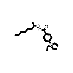 C=C[Si](C=C)(CC)c1ccc(C(=O)OO[C](C)CCCCCC)cc1